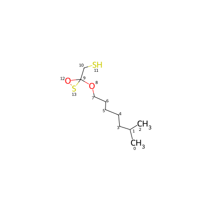 CC(C)CCCCCOC1(CS)OS1